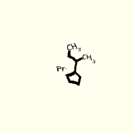 CCC(C)C1=CC=CC1.[Pr]